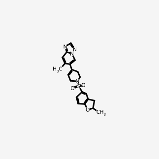 Cc1cc2ncnn2cc1C1=CCN(S(=O)(=O)c2ccc3c(c2)CC(C)O3)CC1